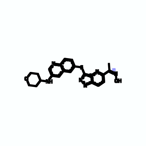 C/C(=N/O)c1ccc2nnc(Sc3ccc4ncc(NC5CCOCC5)cc4c3)n2n1